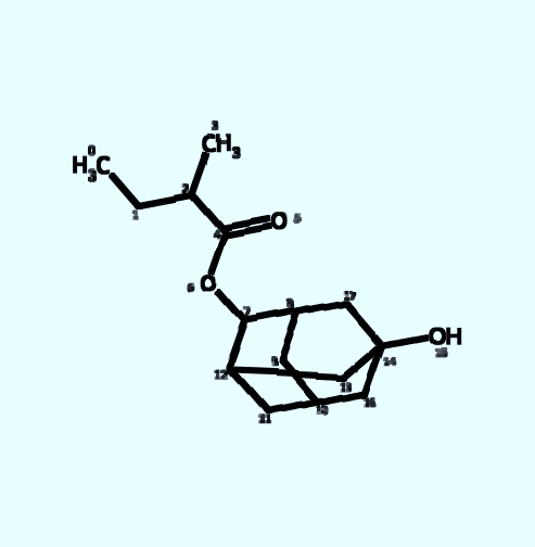 CCC(C)C(=O)OC1C2CC3CC1CC(O)(C3)C2